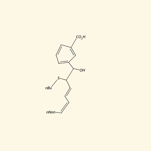 CCCCCCCCC/C=C\C=C\C(SCCCC)C(O)c1cccc(C(=O)O)c1